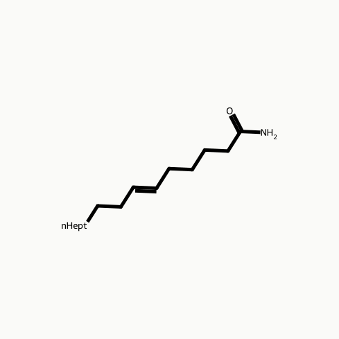 CCCCCCCCCC=CCCCCC(N)=O